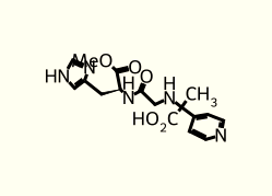 COC(=O)[C@H](Cc1c[nH]cn1)NC(=O)CNC(C)(C(=O)O)c1ccncc1